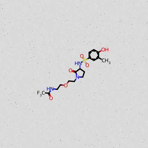 Cc1cc(S(=O)(=O)N[C@H]2CCN(CCOCCNC(=O)C(F)(F)F)C2=O)ccc1O